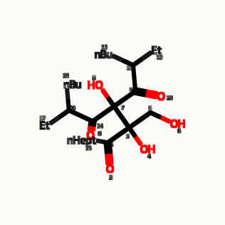 CCCCCCCC(=O)C(O)(CO)C(O)(C(=O)C(CC)CCCC)C(=O)C(CC)CCCC